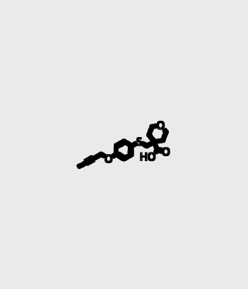 CC#CCOc1ccc(SCC2(C(=O)O)CCOCC2)cc1